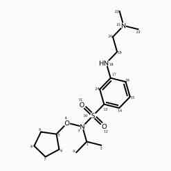 CC(C)N(OC1CCCC1)S(=O)(=O)c1cccc(NCCN(C)C)c1